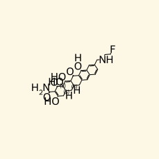 NC(=O)C1=C(O)C[C@@H]2C[C@@H]3Cc4cc5ccc(CNCCF)cc5c(O)c4C(=O)C3=C(O)[C@]2(O)C1=O